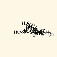 C=C(C)[C@@H]1CC[C@]2(CC(=O)N3CCN(CCO)CC3)CC[C@]3(C)[C@H](CC[C@@H]4[C@@]5(C)CC[C@H](OC(=O)CC(C)(C)C(=O)O)C(C)(C)[C@@H]5CC[C@]43C)[C@@H]12